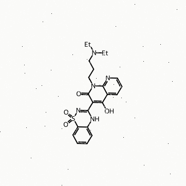 CCN(CC)CCCn1c(=O)c(C2=NS(=O)(=O)c3ccccc3N2)c(O)c2cccnc21